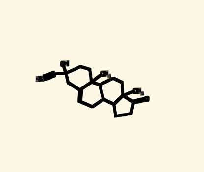 C#CC1(O)CCC2(C)C(=CCC3C4CCC(=O)C4(C)CCC32)C1